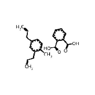 C=CCc1ccc(C)c(CC=C)c1.O=C(O)c1ccccc1C(=O)O